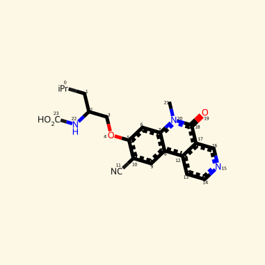 CC(C)CC(COc1cc2c(cc1C#N)c1ccncc1c(=O)n2C)NC(=O)O